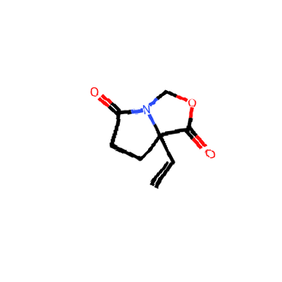 C=CC12CCC(=O)N1COC2=O